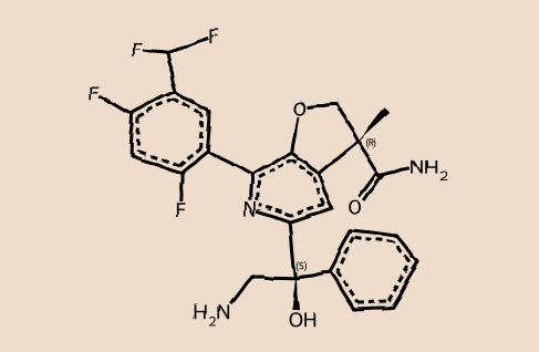 C[C@]1(C(N)=O)COc2c1cc([C@@](O)(CN)c1ccccc1)nc2-c1cc(C(F)F)c(F)cc1F